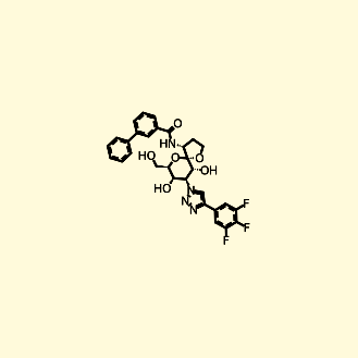 O=C(N[C@@H]1CCO[C@]12O[C@H](CO)[C@H](O)[C@H](n1cc(-c3cc(F)c(F)c(F)c3)nn1)[C@H]2O)c1cccc(-c2ccccc2)c1